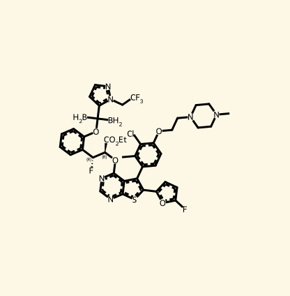 BC(B)(Oc1ccccc1[C@@H](F)[C@H](Oc1ncnc2sc(-c3ccc(F)o3)c(-c3ccc(OCCN4CCN(C)CC4)c(Cl)c3C)c12)C(=O)OCC)c1ccnn1CC(F)(F)F